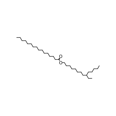 CCCCCCCCCCCCCCCC(=O)OCCCCCCCCC(CC)CCCCC